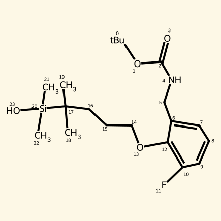 CC(C)(C)OC(=O)NCc1cccc(F)c1OCCCC(C)(C)[Si](C)(C)O